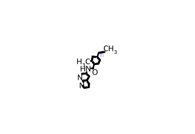 C/C=C/c1ccc(C(=O)Nc2cnc3ncccc3c2)c(C)c1